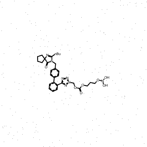 CCCCC1=NC2(CCCC2)C(=O)N1Cc1ccc(-c2ccccc2-c2nnn(COC(=O)OCCCON(O)O)n2)cc1